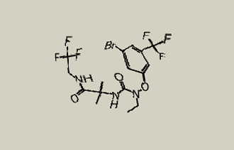 CCN(Oc1cc(Br)cc(C(F)(F)F)c1)C(=O)NC(C)(C)C(=O)NCC(F)(F)F